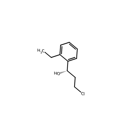 CCc1ccccc1[C@@H](O)CCCl